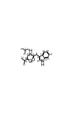 CC(C)C[C@H](NC(=O)Cc1c[nH]c2ccccc12)C(=O)C(C)C